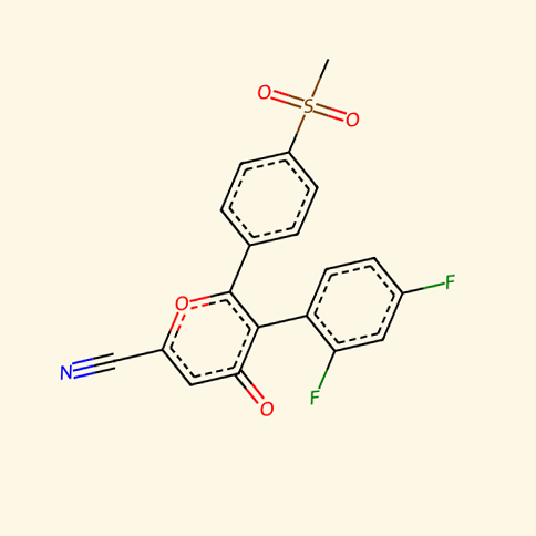 CS(=O)(=O)c1ccc(-c2oc(C#N)cc(=O)c2-c2ccc(F)cc2F)cc1